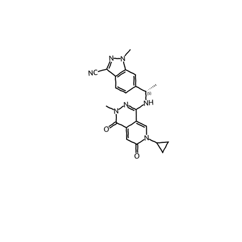 C[C@H](Nc1nn(C)c(=O)c2cc(=O)n(C3CC3)cc12)c1ccc2c(C#N)nn(C)c2c1